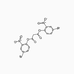 O=C(CC(=O)Oc1ccc(Br)cc1[N+](=O)[O-])Oc1ccc(Br)cc1[N+](=O)[O-]